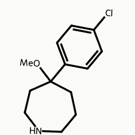 COC1(c2ccc(Cl)cc2)CCCNCC1